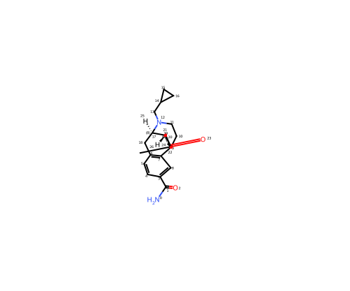 NC(=O)c1ccc2c(c1)C13CCN(CC4CC4)[C@H](C2)[C@@H]1CCC(=O)C3